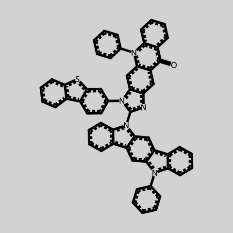 O=c1c2ccccc2n(-c2ccccc2)c2cc3c(cc12)nc(-n1c2ccccc2c2cc4c(cc21)c1ccccc1n4-c1ccccc1)n3-c1ccc2c(c1)sc1ccccc12